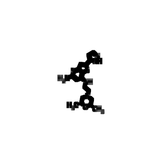 C[C@@H]1CN(CCNc2cc(N)nc3cc(-c4ccn[nH]4)sc23)C[C@@H](C)O1